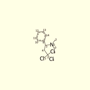 CN(C)C(CC(Cl)(Cl)Cl)c1ccccc1